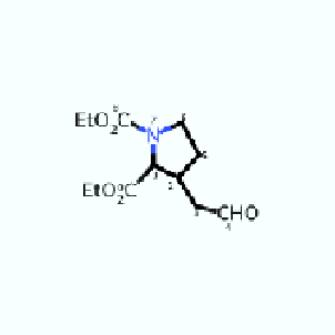 CCOC(=O)C1C(CC=O)CCN1C(=O)OCC